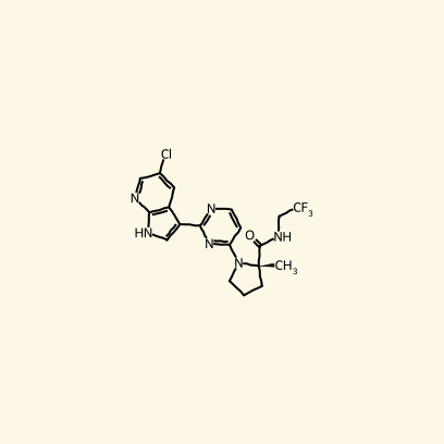 C[C@@]1(C(=O)NCC(F)(F)F)CCCN1c1ccnc(-c2c[nH]c3ncc(Cl)cc23)n1